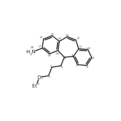 CCOCCCC1c2ccccc2C=Cc2ccc(N)cc21